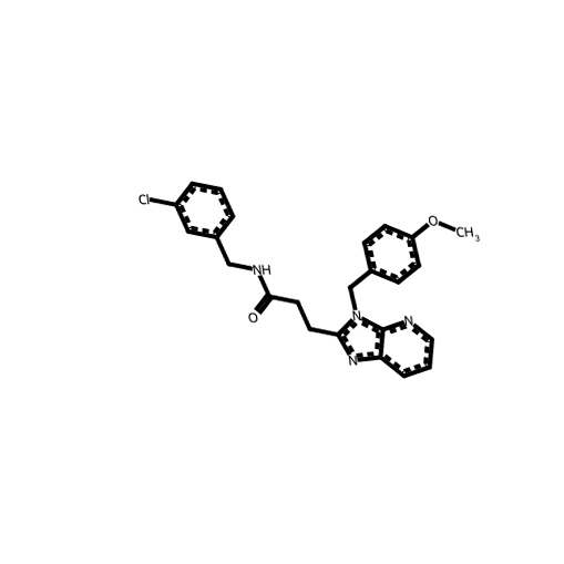 COc1ccc(Cn2c(CCC(=O)NCc3cccc(Cl)c3)nc3cccnc32)cc1